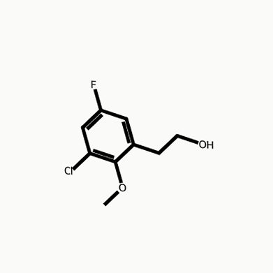 COc1c(Cl)cc(F)cc1CCO